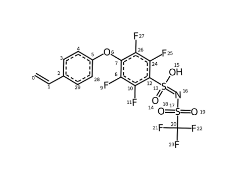 C=Cc1ccc(Oc2c(F)c(F)c(S(=O)(O)=NS(=O)(=O)C(F)(F)F)c(F)c2F)cc1